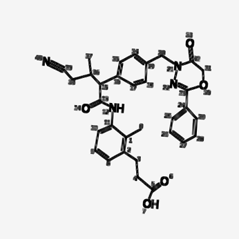 Cc1c(CCC(=O)O)cccc1NC(=O)C(c1ccc(CN2N=C(c3ccccc3)OCC2=O)cc1)C(C)CC#N